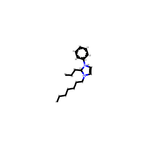 CCCCCCCN1C=CN(c2ccccc2)C1CCC